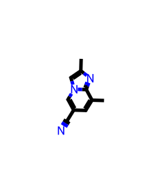 Cc1cn2cc(C#N)cc(C)c2n1